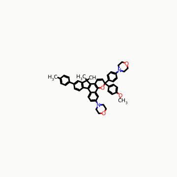 COc1ccc(C2(c3ccc(N4CCOCC4)cc3)C=Cc3c4c(c5ccc(N6CCOCC6)cc5c3O2)-c2ccc(-c3ccc(C)cc3)cc2C4(C)C)cc1